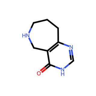 O=c1[nH]cnc2c1CNCCC2